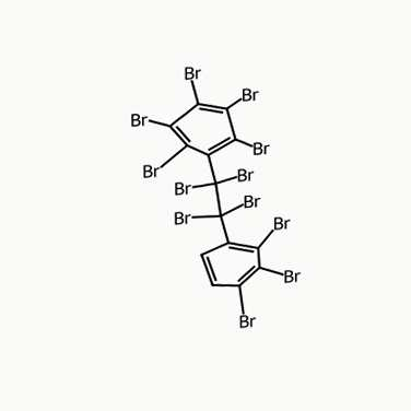 Brc1ccc(C(Br)(Br)C(Br)(Br)c2c(Br)c(Br)c(Br)c(Br)c2Br)c(Br)c1Br